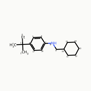 CCC(C)(C)c1ccc(NCC2CCCCC2)cc1